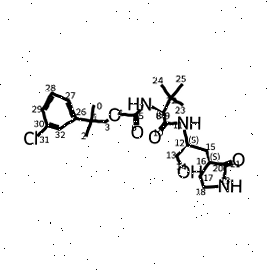 CC(C)(COC(=O)N[C@H](C(=O)N[C@H](CO)C[C@@H]1CCNC1=O)C(C)(C)C)c1cccc(Cl)c1